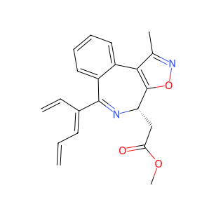 C=C/C=C(\C=C)C1=N[C@@H](CC(=O)OC)c2onc(C)c2-c2ccccc21